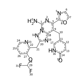 Nc1nc(-c2ncco2)c(Cc2ccc(=O)[nH]c2)c2nc(Cc3ncccc3OC(F)F)nn12